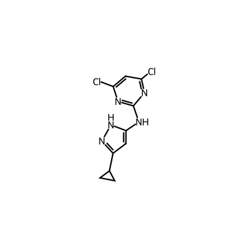 Clc1cc(Cl)nc(Nc2cc(C3CC3)n[nH]2)n1